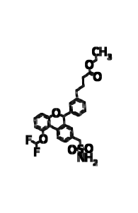 CCOC(=O)CCCc1cccc(C2Oc3cccc(OC(F)F)c3-c3ccc(CS(N)(=O)=O)cc32)c1